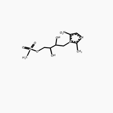 Cc1ncc([N+](=O)[O-])n1CC(O)C(O)COS(C)(=O)=O